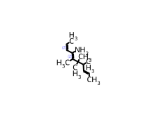 CC=CC(C)C(C)(C)/C(C)=C(N)/C=C\C